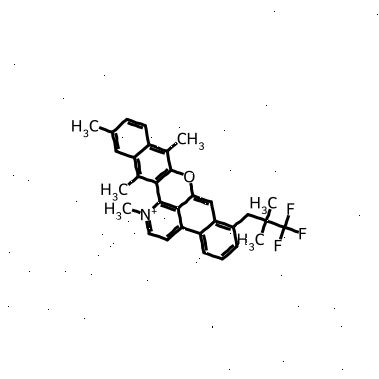 Cc1ccc2c(C)c3c(c(C)c2c1)-c1c2c(cc4c(CC(C)(C)C(F)(F)F)cccc4c2cc[n+]1C)O3